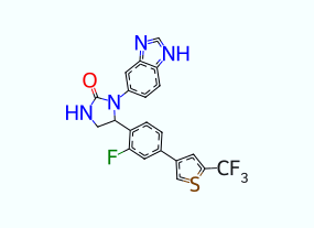 O=C1NCC(c2ccc(-c3csc(C(F)(F)F)c3)cc2F)N1c1ccc2[nH]cnc2c1